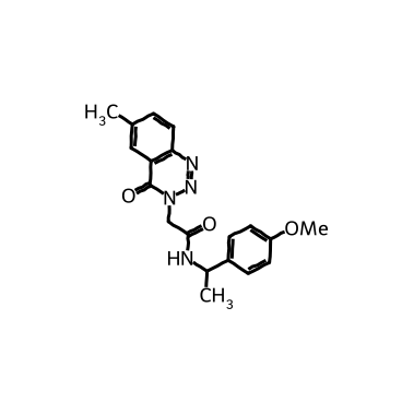 COc1ccc(C(C)NC(=O)Cn2nnc3ccc(C)cc3c2=O)cc1